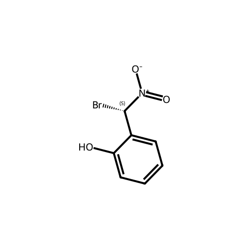 O=[N+]([O-])[C@@H](Br)c1ccccc1O